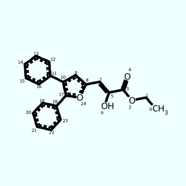 CCOC(=O)/C(O)=C/c1cc(-c2ccccc2)c(-c2ccccc2)o1